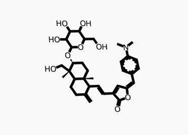 C=C1CCC2[C@](C)(CC[C@@H](OC3OC(CO)C(O)C(O)C3O)[C@@]2(C)CO)C1/C=C/C1=CC(=C\c2ccc(N(C)C)cc2)/OC1=O